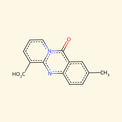 Cc1ccc2nc3c(C(=O)O)cccn3c(=O)c2c1